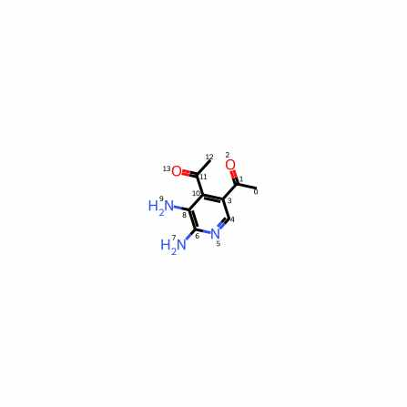 CC(=O)c1cnc(N)c(N)c1C(C)=O